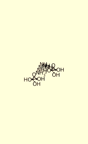 N.N.N.N.N.N.O=P(O)(O)O.O=P(O)(O)O